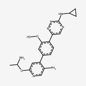 CC(N)Oc1cc(-c2ccc(-c3cnc(NC4CC4)nn3)c(OS)c2)c(P)cn1